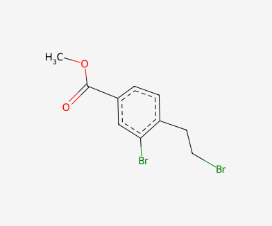 COC(=O)c1ccc(CCBr)c(Br)c1